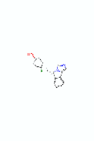 O[C@H]1CC[C@@](F)(CC[C@H]2c3ccccc3-c3cncn32)CC1